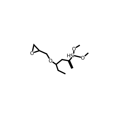 C=C(CC(CC)OCC1CO1)[SiH](OC)OC